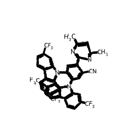 Cc1cc(C)nc(-c2cc(-n3c4cc(C(F)(F)F)ccc4c4ccc(C(F)(F)F)cc43)c(-n3c4cc(C(F)(F)F)ccc4c4ccc(C(F)(F)F)cc43)cc2C#N)n1